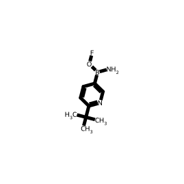 CC(C)(C)c1ccc(B(N)OF)cn1